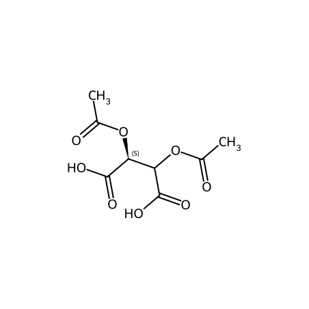 CC(=O)OC(C(=O)O)[C@H](OC(C)=O)C(=O)O